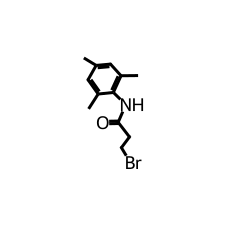 Cc1cc(C)c(NC(=O)CCBr)c(C)c1